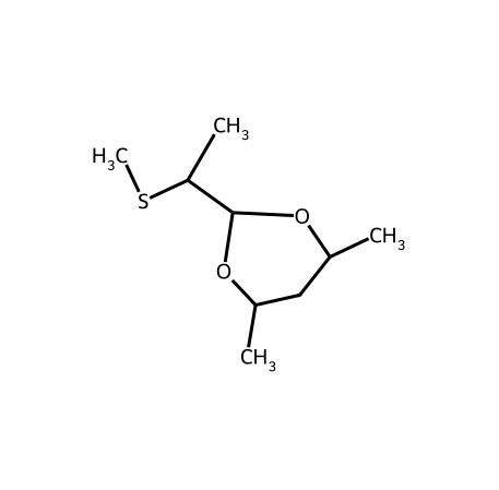 CSC(C)C1OC(C)CC(C)O1